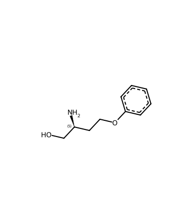 N[C@H](CO)CCOc1ccccc1